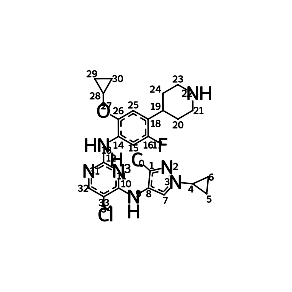 Cc1nn(C2CC2)cc1Nc1nc(Nc2cc(F)c(C3CCNCC3)cc2OC2CC2)ncc1Cl